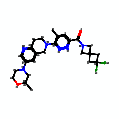 Cc1cc(C(=O)N2CC3(C2)CC(F)(F)C3)nnc1N1CCc2ncc(N3CCO[C@H](C)C3)cc2C1